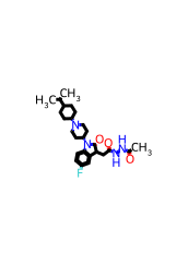 CC(=O)NNC(=O)CC1C(=O)N(C2CCN(C3CCC(C(C)C)CC3)CC2)c2ccc(F)cc21